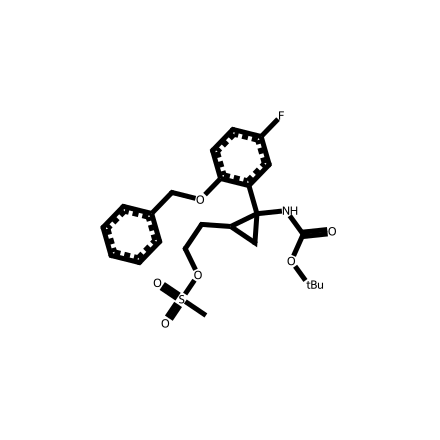 CC(C)(C)OC(=O)NC1(c2cc(F)ccc2OCc2ccccc2)CC1CCOS(C)(=O)=O